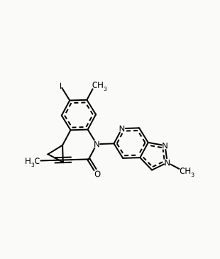 CC#CC(=O)N(c1cc2cn(C)nc2cn1)c1cc(C)c(I)cc1C1CC1